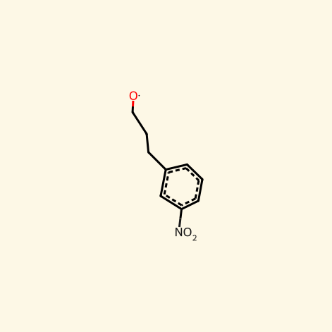 [O]CCCc1cccc([N+](=O)[O-])c1